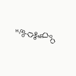 COC(=O)c1ccc(S(=O)(=O)NCc2ccc(Oc3ccccc3)cc2)cc1